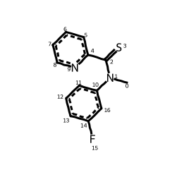 CN(C(=S)c1ccccn1)c1cccc(F)c1